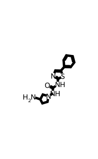 NC1CCN(NC(=O)Nc2ncc(-c3ccccc3)s2)C1